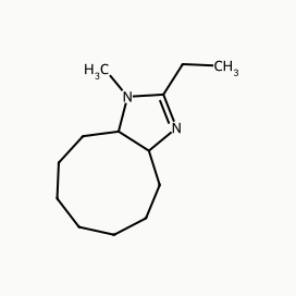 CCC1=NC2CCCCCCCC2N1C